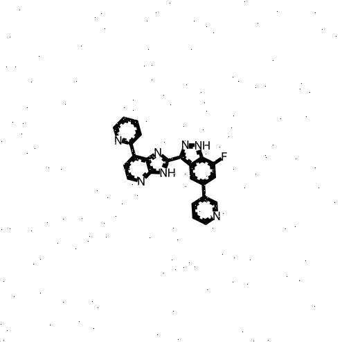 Fc1cc(-c2cccnc2)cc2c(-c3nc4c(-c5ccccn5)ccnc4[nH]3)n[nH]c12